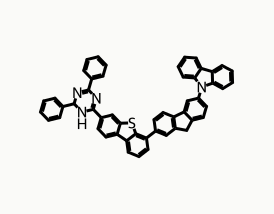 c1ccc(C2=NC(c3ccccc3)NC(c3ccc4c(c3)sc3c(-c5ccc6c(c5)Cc5ccc(-n7c8ccccc8c8ccccc87)cc5-6)cccc34)=N2)cc1